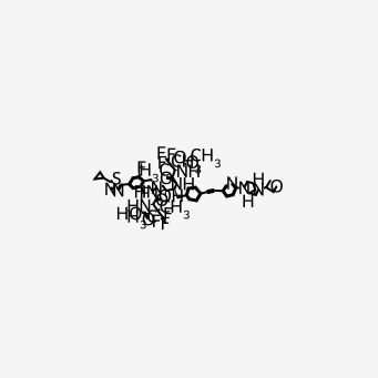 COC(=O)N[C@H](C(=O)N[C@@H](Cc1ccc(C#Cc2ccc(N3C[C@H]4C[C@@H]3CN4C3COC3)nc2)cc1)[C@@H](O)CN(Cc1c(F)cc(-c2nnc(C3CC3)s2)cc1F)NC(=O)[C@@H](NC(=O)O)C(C)(C)C(F)(F)F)C(C)(C)C(F)(F)F